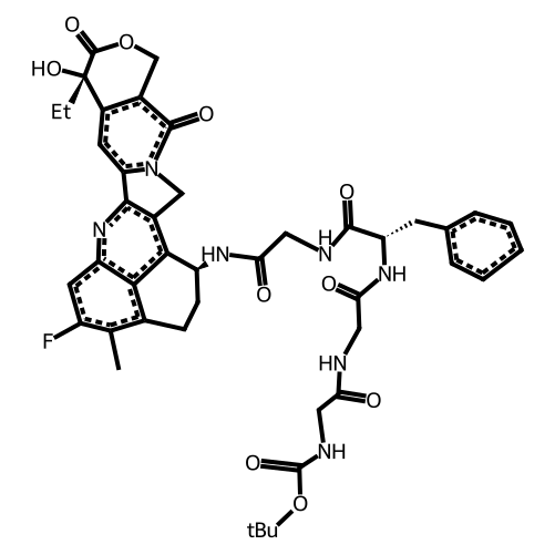 CC[C@@]1(O)C(=O)OCc2c1cc1n(c2=O)Cc2c-1nc1cc(F)c(C)c3c1c2[C@@H](NC(=O)CNC(=O)[C@H](Cc1ccccc1)NC(=O)CNC(=O)CNC(=O)OC(C)(C)C)CC3